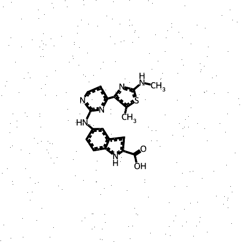 CNc1nc(-c2ccnc(Nc3ccc4[nH]c(C(=O)O)cc4c3)n2)c(C)s1